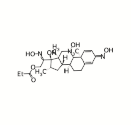 CCC(=O)OC/C(=N\O)[C@@]1(O)[C@@H](C)C[C@H]2[C@@H]3CCC4=C/C(=N/O)C=C[C@]4(C)C3[C@@H](O)C[C@@]21C